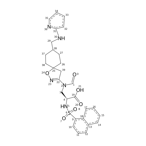 O=CN(C[C@H](NS(=O)(=O)c1cccc2ccccc12)C(=O)O)C1=NOC2(CCC(CNc3ccccn3)CC2)C1